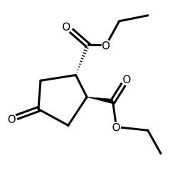 CCOC(=O)[C@H]1CC(=O)C[C@@H]1C(=O)OCC